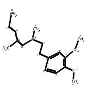 COc1ccc(CCN(C)CC(C)CCN)cc1OC